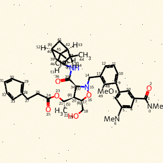 CNC(=O)c1cc(NC)cc(-c2cccc(CN3O[C@@H](CO)[C@@H]([C@H](C)OC(=O)CCc4ccccc4)[C@H]3C(=O)N[C@H]3C[C@H]4C[C@@H]([C@@H]3C)C4(C)C)c2OC)c1